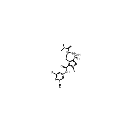 C=C(C(C)C)[C@@H]1CCc2c(cn(C)c2C(=O)Nc2cc(F)nc(C#N)c2)S(=N)(=O)N1